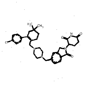 CC1(C)CCC(CN2CCN(Cc3ccc4c(c3)CN(C3CCC(=O)NC3=O)C4=O)CC2)=C(c2ccc(Cl)cc2)C1